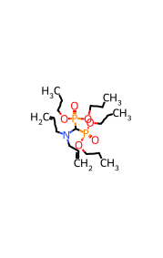 C=CCN(CC=C)C(P(=O)(OCCC)OCCC)P(=O)(OCCC)OCCC